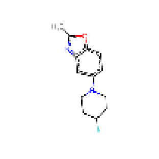 Cc1nc2cc(N3CCC(F)CC3)ccc2o1